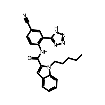 CCCCCn1c(C(=O)Nc2ccc(C#N)cc2-c2nnn[nH]2)cc2ccccc21